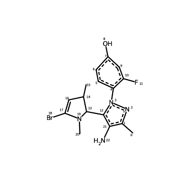 Cc1nn(-c2ccc(O)cc2F)c(C2C(C)C=C(Br)N2C)c1N